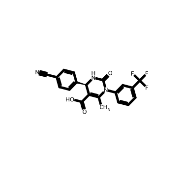 CC1=C(C(=O)O)[C@@H](c2ccc(C#N)cc2)NC(=O)N1c1cccc(C(F)(F)F)c1